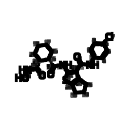 O=C(Nc1ccc(Cl)cc1)c1c(NC(=O)[C@H]2CCCC[C@H]2C(=O)NO)sc2c1CCC2